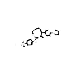 C=C1/N=C(Nc2ccc(S(N)(=O)=O)cc2)\N=C/C/C=C\C=C/1c1ccc(N2CCCC2)nc1